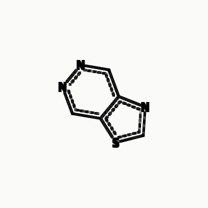 c1nc2cnncc2s1